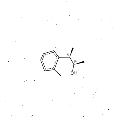 Cc1ccccc1[C@@H](C)[C@@H](C)O